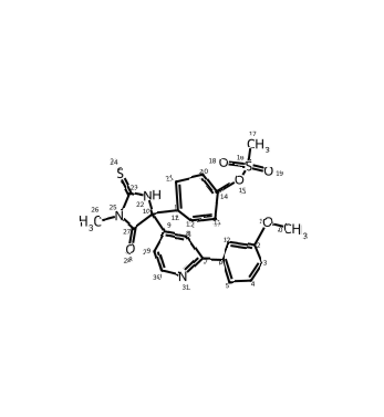 COc1cccc(-c2cc(C3(c4ccc(OS(C)(=O)=O)cc4)NC(=S)N(C)C3=O)ccn2)c1